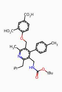 Cc1ccc(-c2c(COc3ccc(C(=O)O)cc3C(=O)O)c(C)nc(CC(C)C)c2CNC(=O)OC(C)(C)C)cc1